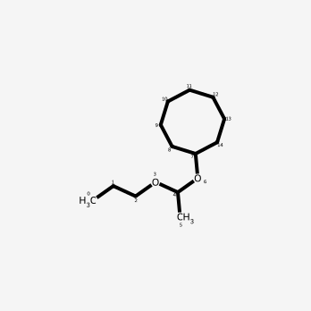 CCCOC(C)OC1CCCCCCC1